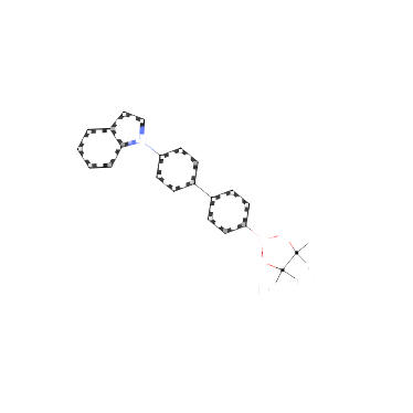 CC1(C)OB(c2ccc(-c3ccc(-n4ccc5ccccc54)cc3)cc2)OC1(C)C